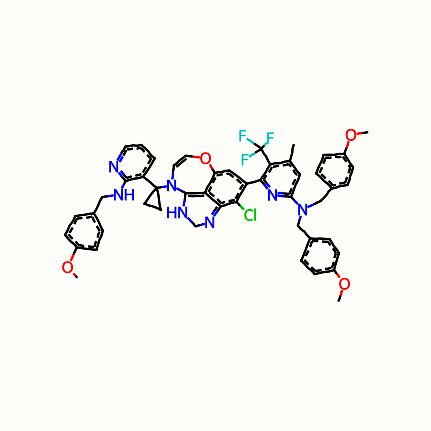 COc1ccc(CNc2ncccc2C2(N3C=COc4cc(-c5nc(N(Cc6ccc(OC)cc6)Cc6ccc(OC)cc6)cc(C)c5C(F)(F)F)c(Cl)c5c4=C3NCN=5)CC2)cc1